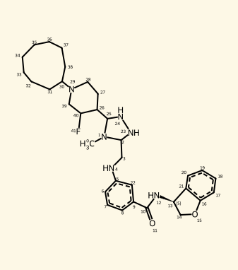 CN1C(CNc2cccc(C(=O)N[C@@H]3COc4ccccc43)c2)NNC1C1CCN(C2CCCCCCCC2)CC1F